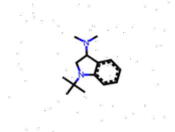 CN(C)C1CN(C(C)(C)C)c2ccccc21